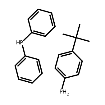 CC(C)(C)c1ccc(P)cc1.c1ccc(Pc2ccccc2)cc1